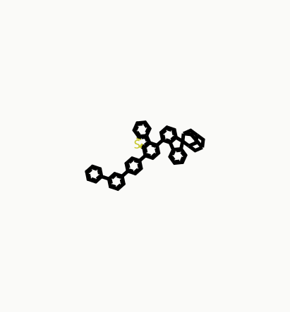 c1ccc(-c2cccc(-c3ccc(-c4ccc(-c5cccc6c5-c5ccccc5C65C6CC7CC(C6)CC5C7)c5c4sc4ccccc45)cc3)c2)cc1